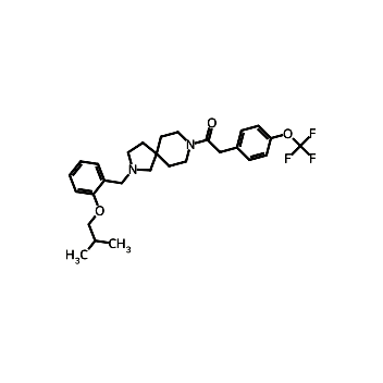 CC(C)COc1ccccc1CN1CCC2(CCN(C(=O)Cc3ccc(OC(F)(F)F)cc3)CC2)C1